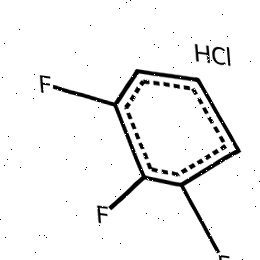 Cl.Fc1cccc(F)c1F